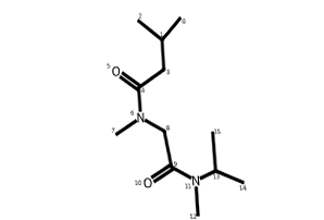 CC(C)CC(=O)N(C)CC(=O)N(C)C(C)C